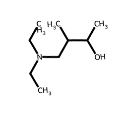 CCN(CC)CC(C)C(C)O